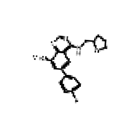 COc1cc(-c2ccc(F)cc2)cc2c(NCC3CCCO3)ncnc12